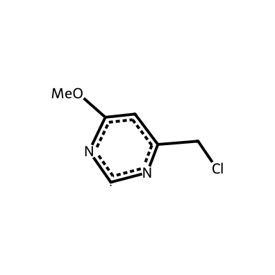 COc1cc(CCl)n[c]n1